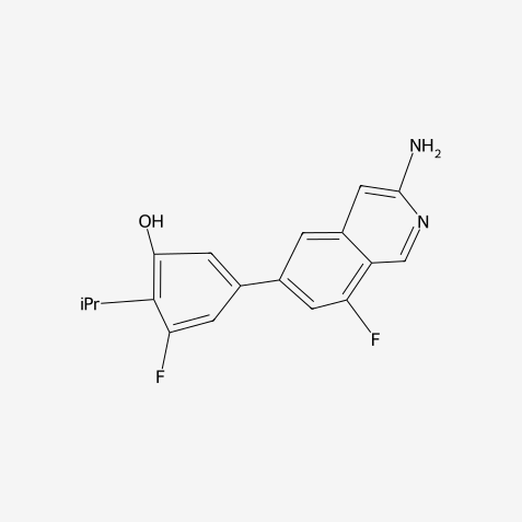 CC(C)c1c(O)cc(-c2cc(F)c3cnc(N)cc3c2)cc1F